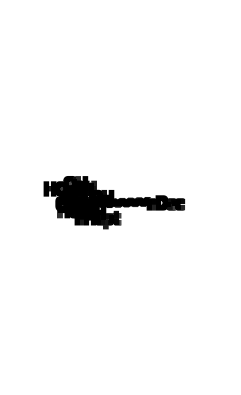 CCCCCCCCCCCCCCCCCCCCCCC(O)C(=O)N[C@H](CO[C@H]1O[C@H](CO)[C@H](O)[C@H](O)[C@H]1O)[C@H](O)[C@H](O)CCCCCCC